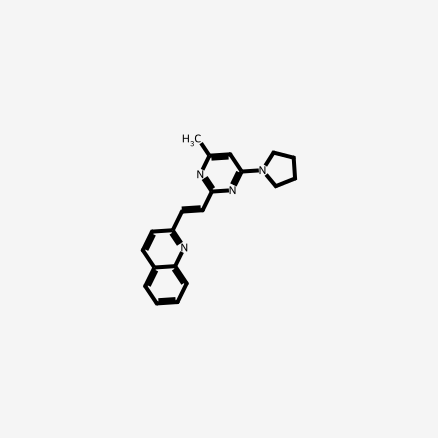 Cc1cc(N2CCCC2)nc(C=Cc2ccc3ccccc3n2)n1